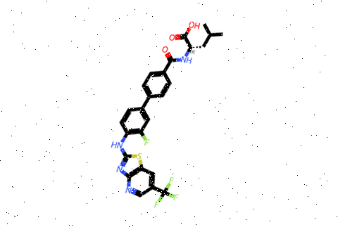 CC(C)C[C@H](NC(=O)c1ccc(-c2ccc(Nc3nc4ncc(C(F)(F)F)cc4s3)c(F)c2)cc1)C(=O)O